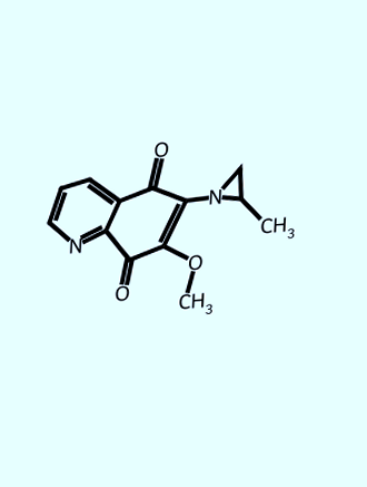 COC1=C(N2CC2C)C(=O)c2cccnc2C1=O